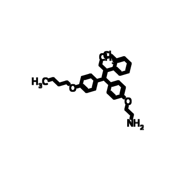 CCCCOc1ccc(/C(=C(\CC)c2ccccc2Cl)c2ccc(OCCN)cc2)cc1